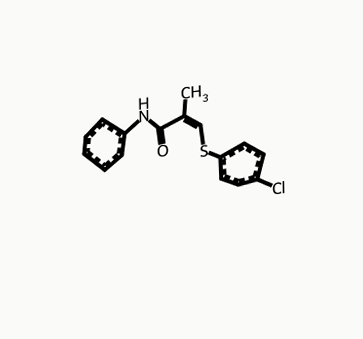 CC(=CSc1ccc(Cl)cc1)C(=O)Nc1ccccc1